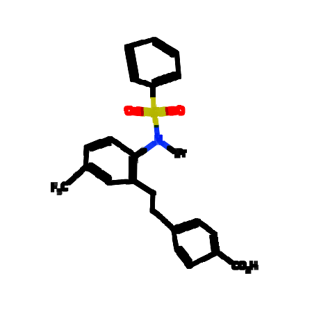 CC(C)N(c1ccc(C(F)(F)F)cc1CCc1ccc(C(=O)O)cc1)S(=O)(=O)c1ccccc1